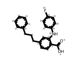 O=C(O)c1ccc(CCCc2ccccc2)cc1Nc1ccc(F)cc1